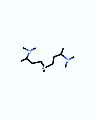 CC(C[CH2][Al]([CH3])[CH2]CC(C)N(C)C)N(C)C